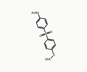 CC(=O)Nc1ccc(S(=O)(=O)c2ccc(OC=O)cc2)cc1